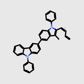 C=C/C=C\c1c(C)c2cc(-c3ccc4c(c3)c3ccccc3n4-c3ccccc3)ccc2n1-c1ccccc1